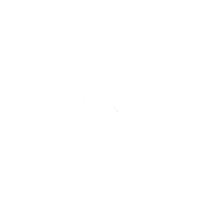 CCC(=O)N[C@H]1Cc2ccccc2CN(CC)C1=O